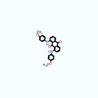 COc1ccc(Nc2cccc3c2C(=O)c2c(Nc4ccc(OC)cc4)cccc2C3=O)cc1